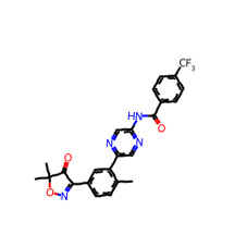 Cc1ccc(C2=NOC(C)(C)C2=O)cc1-c1cnc(NC(=O)c2ccc(C(F)(F)F)cc2)cn1